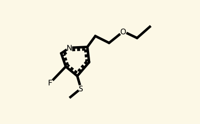 CCOCCc1cc(SC)c(F)cn1